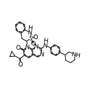 O=C(c1cc2cnc(Nc3ccc(C4CCCNC4)cc3)nc2n(C2Cc3ccccc3NS2(=O)=O)c1=O)C1CC1